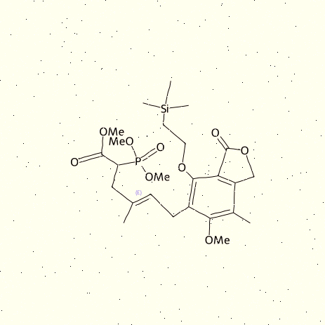 COC(=O)C(C/C(C)=C/Cc1c(OC)c(C)c2c(c1OCC[Si](C)(C)C)C(=O)OC2)P(=O)(OC)OC